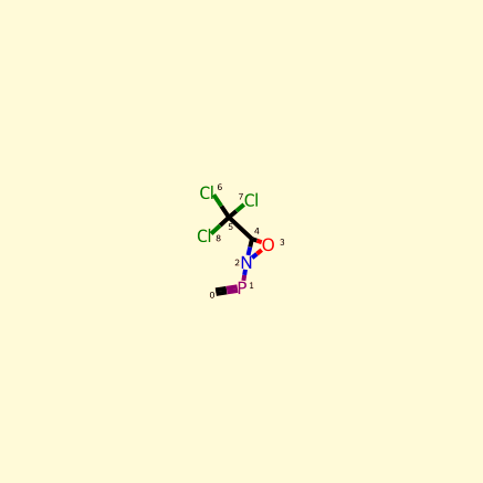 C=PN1OC1C(Cl)(Cl)Cl